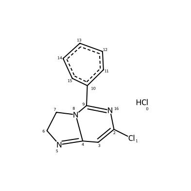 Cl.ClC1=CC2=NCCN2C(c2ccccc2)=N1